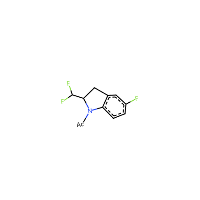 CC(=O)N1c2ccc(F)cc2CC1C(F)F